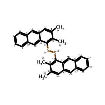 Cc1cc2cc3ccccc3cc2c(SSc2c(C)c(C)cc3cc4ccccc4cc23)c1C